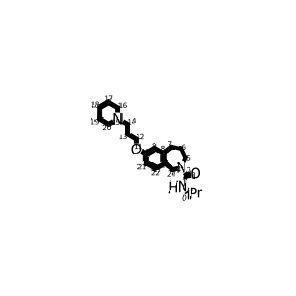 CC(C)NC(=O)N1CCCc2cc(OCCCN3CCCCC3)ccc2C1